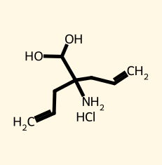 C=CCC(N)(CC=C)C(O)O.Cl